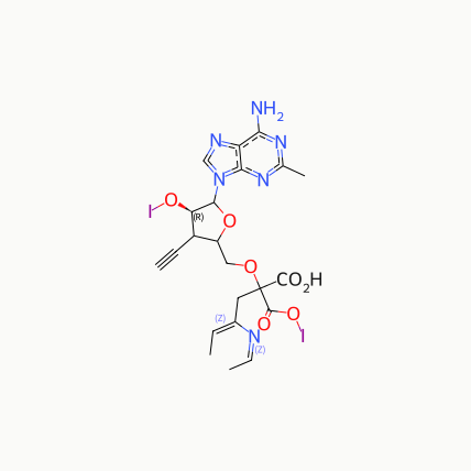 C#CC1C(COC(CC(=C/C)/N=C\C)(C(=O)O)C(=O)OI)OC(n2cnc3c(N)nc(C)nc32)[C@@H]1OI